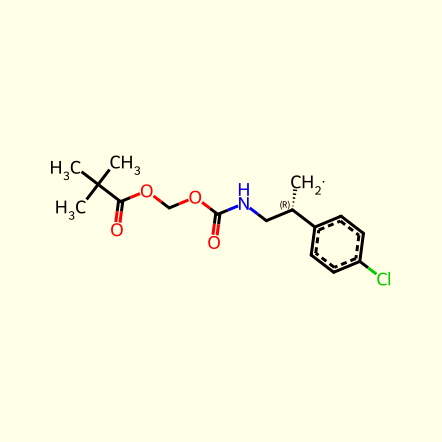 [CH2][C@@H](CNC(=O)OCOC(=O)C(C)(C)C)c1ccc(Cl)cc1